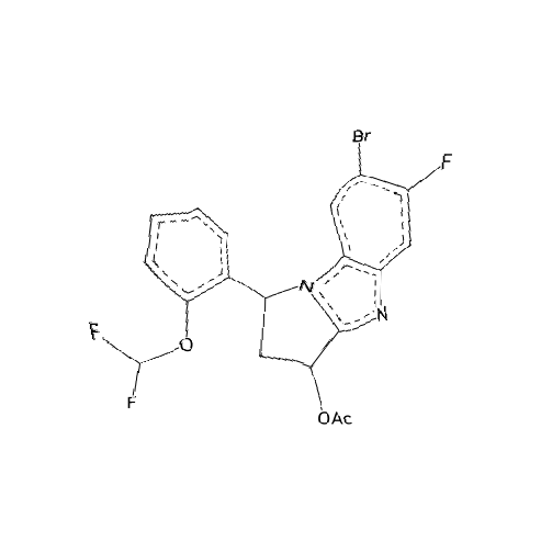 CC(=O)OC1CC(c2ccccc2OC(F)F)n2c1nc1cc(F)c(Br)cc12